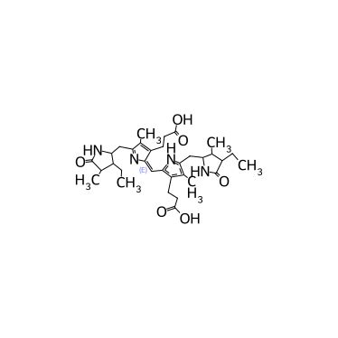 CCC1C(=O)NC(Cc2[nH]c(/C=C3/N=C(CC4NC(=O)C(C)C4CC)C(C)=C3CCC(=O)O)c(CCC(=O)O)c2C)C1C